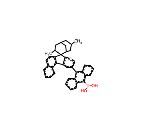 CC1CC2CC(C)C3(c4ccc(-c5c6ccccc6c(B(O)O)c6ccccc56)cc4-c4c3ccc3ccccc43)C(C1)C2